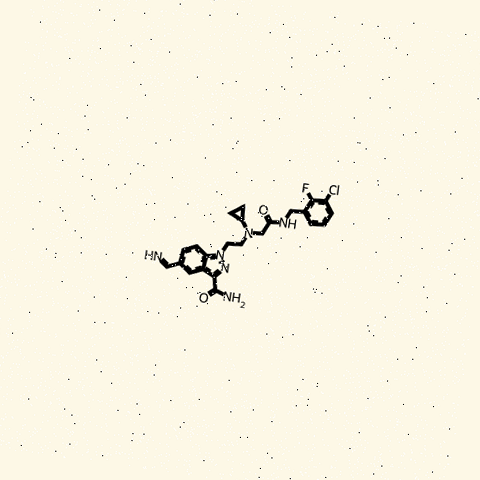 N=Cc1ccc2c(c1)c(C(N)=O)nn2CCN(CC(=O)NCc1cccc(Cl)c1F)C1CC1